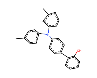 Cc1ccc(N(c2ccc(-c3ccccc3O)cc2)c2cccc(C)c2)cc1